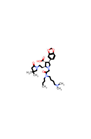 CCCCN(CCCCN(C)C)C(=O)CN1C[C@H](c2ccc3c(c2)OCO3)[C@@H](C(=O)O)[C@@H]1CCN1CC(C)(C)CC1=O